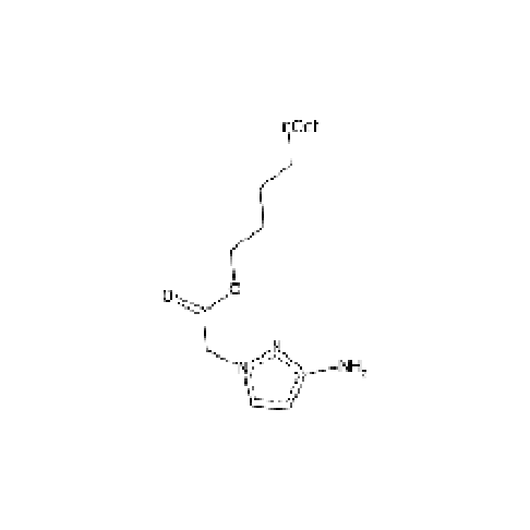 CCCCCCCCCCCCOC(=O)Cn1ccc(N)n1